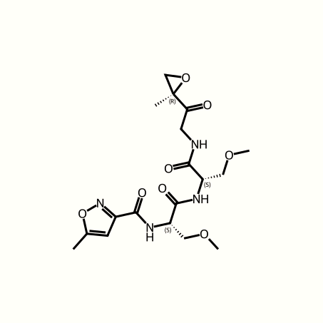 COC[C@H](NC(=O)c1cc(C)on1)C(=O)N[C@@H](COC)C(=O)NCC(=O)[C@@]1(C)CO1